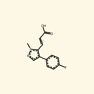 Cn1ncc(-c2ccc(F)cc2)c1/C=C/C(=O)O